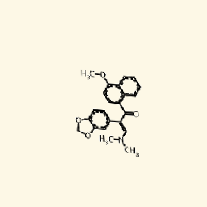 COc1ccc(C(=O)/C(=C/N(C)C)c2ccc3c(c2)OCO3)c2ccccc12